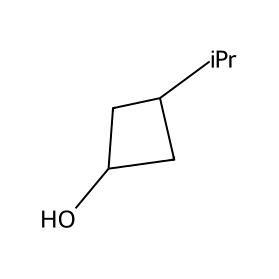 CC(C)C1CC(O)C1